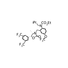 CCOC(=O)N(CC(C)C)c1ccc(OC(F)(F)F)cc1CN1C(=O)O[C@H](c2cc(C(F)(F)F)cc(C(F)(F)F)c2)[C@@H]1C